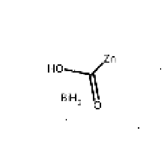 O=[C](O)[Zn].[BiH3]